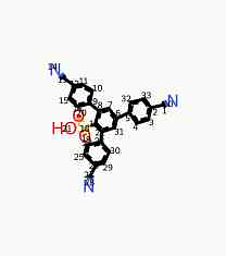 N#Cc1ccc(-c2cc(-c3ccc(C#N)cc3)c(S(=O)(=O)O)c(-c3ccc(C#N)cc3)c2)cc1